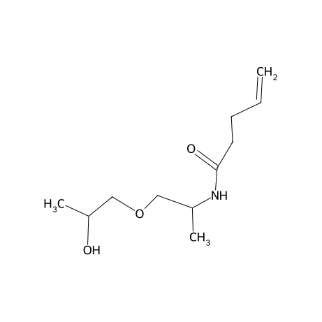 C=CCCC(=O)NC(C)COCC(C)O